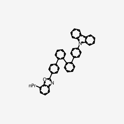 CCCc1cccc2nc(-c3ccc(-c4ccccc4-c4ccccc4-c4ccc(-n5c6ccccc6c6ccccc65)cc4)cc3)oc12